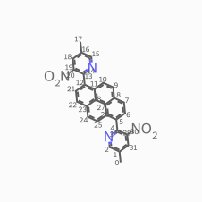 Cc1cnc(-c2ccc3ccc4c(-c5ncc(C)cc5[N+](=O)[O-])ccc5ccc2c3c54)c([N+](=O)[O-])c1